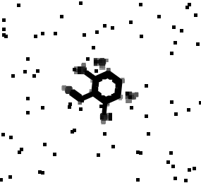 O=Cc1c(O)cccc1O.[Na+].[OH-]